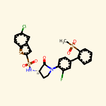 CS(=O)(=O)c1ccccc1-c1ccc(N2CC[C@H](NS(=O)(=O)c3cc4cc(Cl)ccc4s3)C2=O)c(F)c1